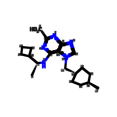 C[C@@H](Nc1nc(C(=O)O)nc2ncn(C[C@H]3CC[C@H](C)CC3)c12)C1CCC1